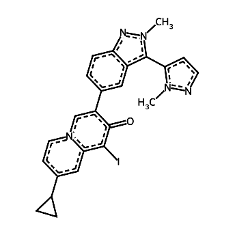 Cn1nccc1-c1c2cc(-c3cn4ccc(C5CC5)cc4c(I)c3=O)ccc2nn1C